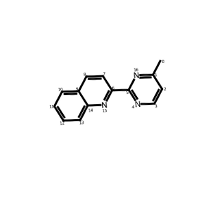 Cc1ccnc(-c2ccc3ccccc3n2)n1